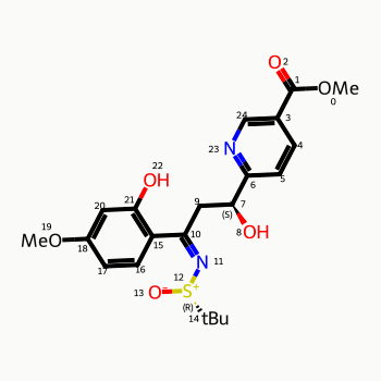 COC(=O)c1ccc([C@@H](O)CC(=N[S@@+]([O-])C(C)(C)C)c2ccc(OC)cc2O)nc1